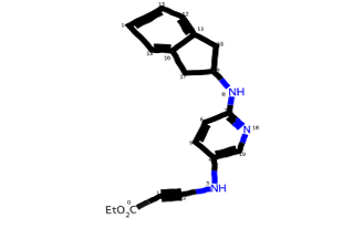 CCOC(=O)C#CNc1ccc(NC2Cc3ccccc3C2)nc1